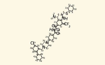 CN(C)CC[C@H](CSc1ccccc1)Nc1ccc(S(=O)(=O)NC(=O)c2ccc(N3CCN(Cc4cc(Cl)ccc4-c4ccccc4)CC3)cc2)cc1C(F)(F)F